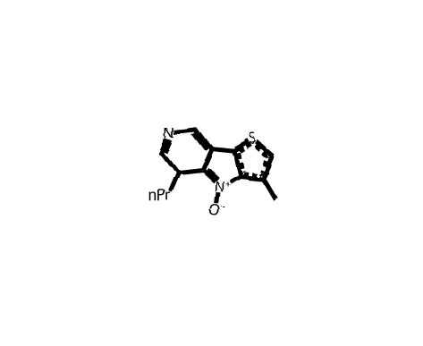 CCCC1C=NC=C2C1=[N+]([O-])c1c(C)csc12